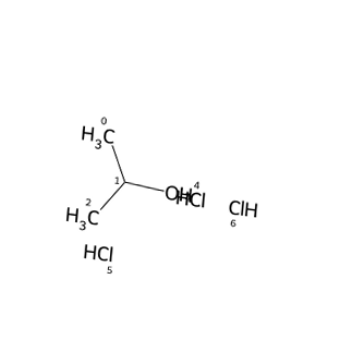 CC(C)O.Cl.Cl.Cl